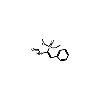 COP(=O)(OC)C(=Cc1ccccc1)NC=O